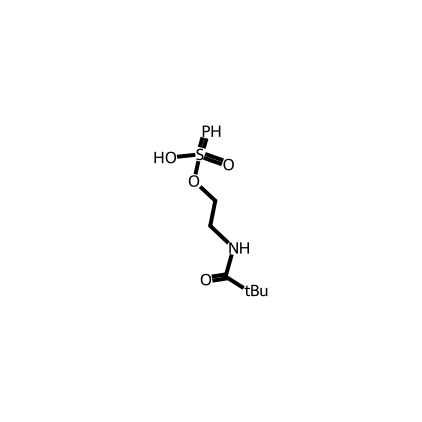 CC(C)(C)C(=O)NCCOS(=O)(O)=P